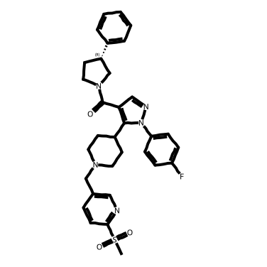 CS(=O)(=O)c1ccc(CN2CCC(c3c(C(=O)N4CC[C@H](c5ccccc5)C4)cnn3-c3ccc(F)cc3)CC2)cn1